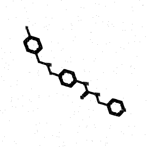 O=C(NCc1ccncc1)Nc1ccc(SNCc2ccc(F)cc2)cc1